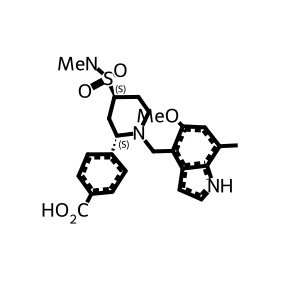 CNS(=O)(=O)[C@H]1CCN(Cc2c(OC)cc(C)c3[nH]ccc23)[C@H](c2ccc(C(=O)O)cc2)C1